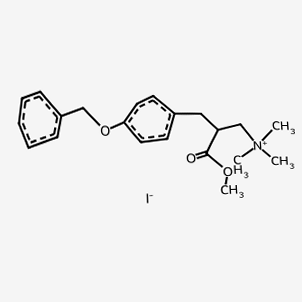 COC(=O)C(Cc1ccc(OCc2ccccc2)cc1)C[N+](C)(C)C.[I-]